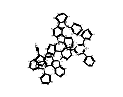 CC1(c2nc(-c3ccccc3)nc(-c3ccccc3)n2)C=C(c2cc(-c3ccccc3C#N)ccc2-n2c3ccccc3c3c2ccc2c4ccccc4n(-c4ccccc4)c23)C(n2c3ccccc3c3c2ccc2c4ccccc4n(-c4ccccc4)c23)=CC1